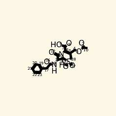 CC(=O)OCC1=C(C(=O)O)N2C(=O)[C@@H](NC(=O)Cc3ccccc3)[C@H]2S(=O)(=O)C1